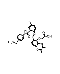 CC(=O)C(C)Oc1cccc(CNc2ccc(Cl)cc2C(=O)Nc2ccc(CN)cc2)c1OCC(=O)O